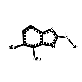 CCCCc1ccc2sc(NS)nc2c1CCCC